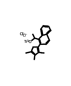 CC1=C(C)C(C)=C(c2ccc3ccccc3c2C(C)[O][Ti+2])C1.[Cl-].[Cl-]